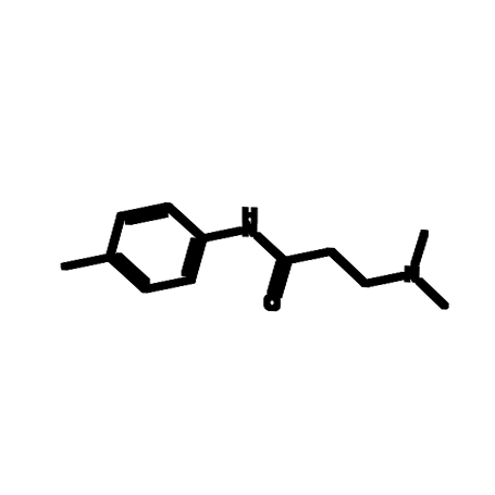 Cc1ccc(NC(=O)CCN(C)C)cc1